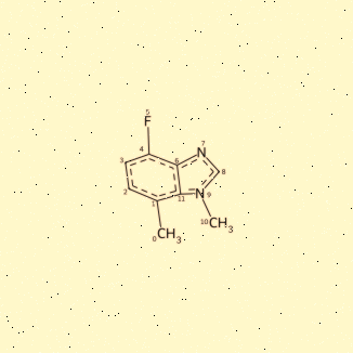 Cc1ccc(F)c2ncn(C)c12